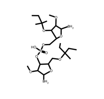 BC1OC(COP(=O)(O)OC2C(COC(C)(CC)CC)OC(B)C2OC)C(OC(C)(C)CC)C1OC